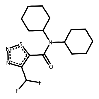 O=C(c1snnc1C(F)F)N(C1CCCCC1)C1CCCCC1